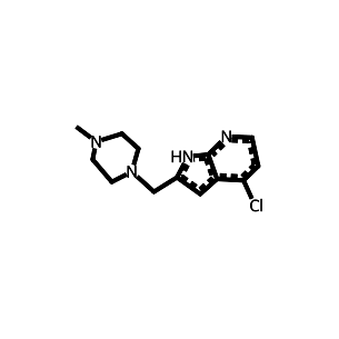 CN1CCN(Cc2cc3c(Cl)ccnc3[nH]2)CC1